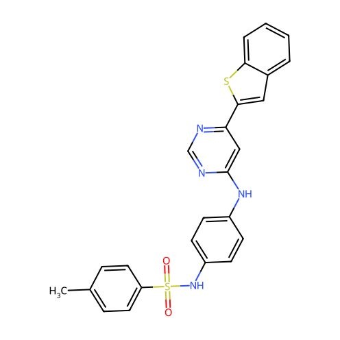 Cc1ccc(S(=O)(=O)Nc2ccc(Nc3cc(-c4cc5ccccc5s4)ncn3)cc2)cc1